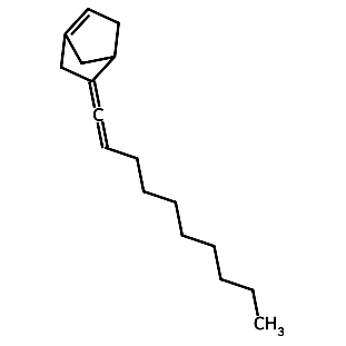 CCCCCCCCC=C=C1CC2=CCC1C2